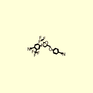 N#Cc1ccc(OCC2CN(c3ccc(C#N)c(C(F)(F)F)c3)[C@H](C(F)(F)F)O2)cc1